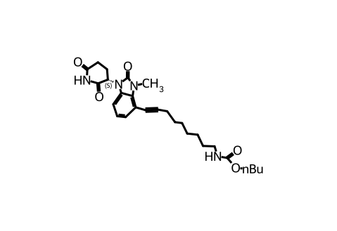 CCCCOC(=O)NCCCCCCCC#Cc1cccc2c1n(C)c(=O)n2[C@H]1CCC(=O)NC1=O